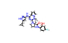 C[C@@]1(C(=O)Nc2ccc(F)cc2O)CCCN1c1nc(Nc2cc(C3CC3)[nH]n2)c2cccn2n1